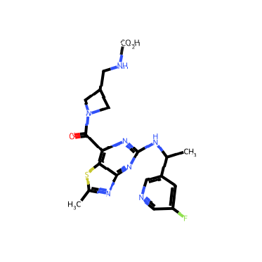 Cc1nc2nc(NC(C)c3cncc(F)c3)nc(C(=O)N3CC(CNC(=O)O)C3)c2s1